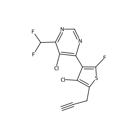 C#CCc1sc(F)c(-c2ncnc(C(F)F)c2Cl)c1Cl